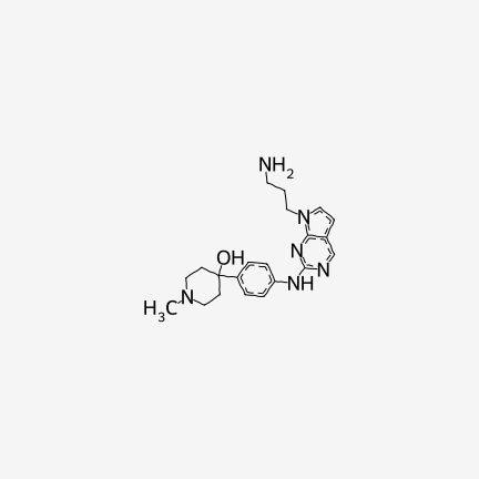 CN1CCC(O)(c2ccc(Nc3ncc4ccn(CCCN)c4n3)cc2)CC1